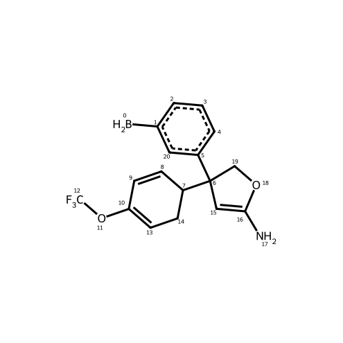 Bc1cccc(C2(C3C=CC(OC(F)(F)F)=CC3)C=C(N)OC2)c1